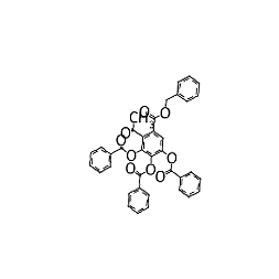 CC(=O)c1c(C(=O)OCc2ccccc2)cc(OC(=O)c2ccccc2)c(OC(=O)c2ccccc2)c1OC(=O)c1ccccc1